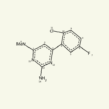 CNc1cc(-c2cc(F)ccc2Cl)nc(N)n1